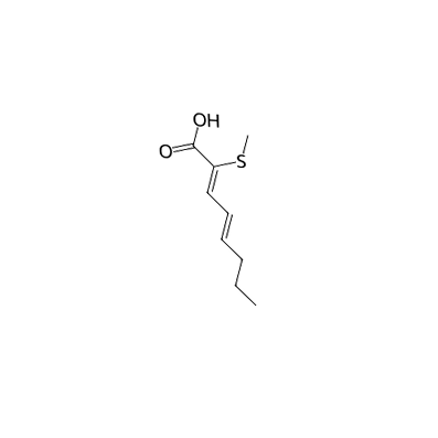 CCCC=CC=C(SC)C(=O)O